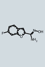 NC(=NO)c1cc2ccc(F)cc2o1